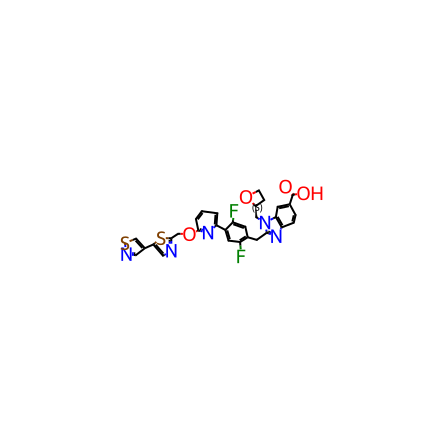 O=C(O)c1ccc2nc(Cc3cc(F)c(-c4cccc(OCc5ncc(-c6cnsc6)s5)n4)cc3F)n(C[C@@H]3CCO3)c2c1